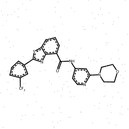 O=C(Nc1ccnc(N2CCOCC2)c1)c1cccc2sc(-c3cccc(C(F)(F)F)c3)nc12